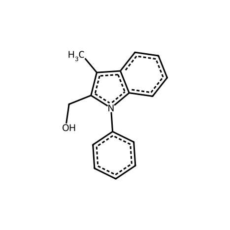 Cc1c(CO)n(-c2ccccc2)c2ccccc12